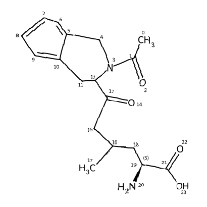 CC(=O)N1Cc2ccccc2CC1C(=O)CC(C)C[C@H](N)C(=O)O